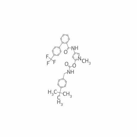 Cn1cc(NC(=O)c2ccccc2-c2ccc(C(F)(F)F)cc2)cc1OC(=O)NCc1ccc(C(C)(C)C)cc1